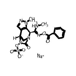 CN/C(=N\OC(=O)c1ccccc1)[C@@H]1c2c(cnn2C)[C@@H]2CN1C(=O)N2OS(=O)(=O)[O-].[Na+]